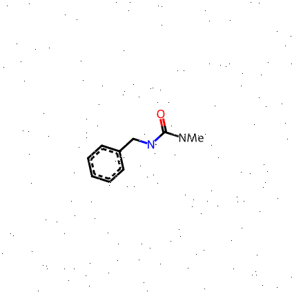 CNC(=O)[N]Cc1ccccc1